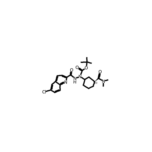 CN(C)C(=O)[C@H]1CCCC(N(NC(=O)c2ccc3cc(Cl)ccc3n2)C(=O)OC(C)(C)C)C1